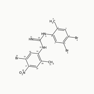 Cc1cc(Br)c(Br)cc1NC(=N)Nc1cc(Br)c([N+](=O)[O-])cc1C